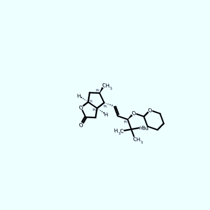 CCCCC(C)(C)[C@@H](C=C[C@@H]1[C@H]2CC(=O)O[C@H]2C[C@H]1C)OC1CCCCO1